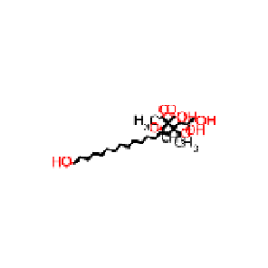 CC(=O)C(CCCCCCCCCCCCCCCO)(CC(O)CO)C(C(C)=O)(C(C)=O)C(=O)O